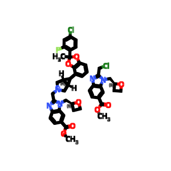 COC(=O)c1ccc2nc(CCl)n(C[C@@H]3CCO3)c2c1.COC(=O)c1ccc2nc(CN3C[C@@H]4C(c5cccc6c5OC(C)(c5ccc(Cl)cc5F)O6)[C@@H]4C3)n(C[C@@H]3CCO3)c2c1